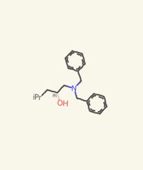 CC(C)C[C@@H](O)CN(Cc1ccccc1)Cc1ccccc1